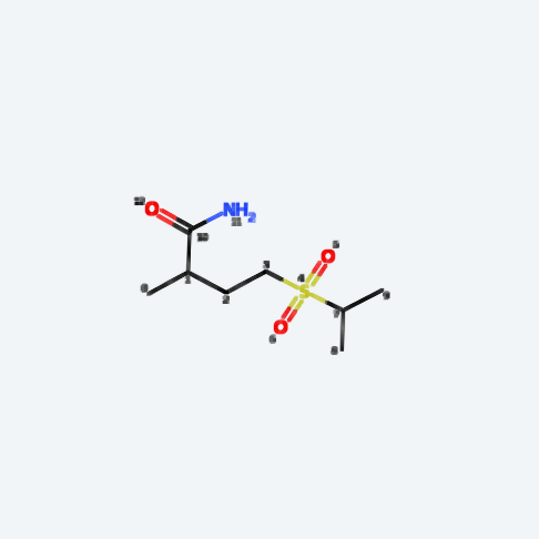 CC(CCS(=O)(=O)C(C)C)C(N)=O